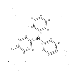 Cc1ccc(N(c2cc#ccc2)c2ccccc2)cc1